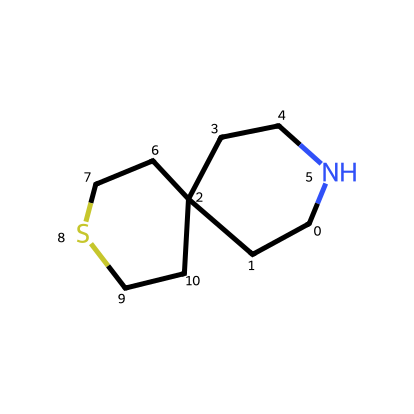 C1CC2(CCN1)CCSCC2